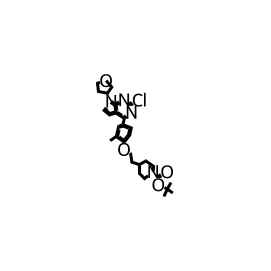 Cc1cc(-c2nc(Cl)nc3c2ccn3C2CCOC2)ccc1OCCC1CCN(C(=O)OC(C)(C)C)CC1